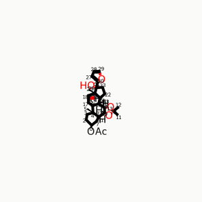 CC(=O)O[C@H]1CC[C@@]2(C)[C@H](C1)[C@H]1OC(C)(C)O[C@@H]1[C@@H]1[C@@H]2CC[C@@]2(C)[C@H]1CC[C@@]2(O)c1ccco1